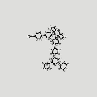 N#Cc1ccc(-c2ccc3c(c2)-c2cc(-c4ccc(-c5cc(-c6ccccc6)nc(-c6ccccc6)n5)cc4)ccc2C32c3ccccc3Sc3ccccc32)cc1